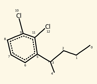 CCC[C](C)c1cccc(Cl)c1Cl